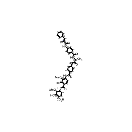 COc1c(NC(=O)c2ccc(NC(=O)c3ccc(NC(=O)[C@H](C)NC(=O)c4ccc(NC(=O)/C(F)=C/c5ccccc5)cc4)cc3)c(OC)c2O)ccc(C(=O)O)c1O